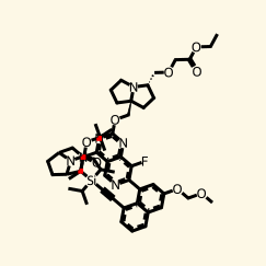 CCOC(=O)COC[C@@H]1CC[C@]2(COc3nc(N4CC5CCC(C4)N5C(=O)OC(C)(C)C)c4cnc(-c5cc(OCOC)cc6cccc(C#C[Si](C(C)C)(C(C)C)C(C)C)c56)c(F)c4n3)CCCN12